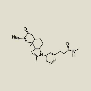 CNC(=O)CCc1cccc(-n2c(C)nc3c2CCC2CC(=O)C(C#N)=CC32C)c1